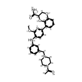 COc1nc(-c2cccc3c2OC(C(N)=O)CO3)ccc1Nc1cccc(CN2CCN(C(C)=O)CC2)c1